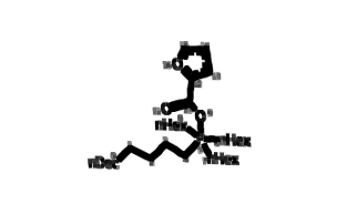 CCCCCCCCCCCCCCP(CCCCCC)(CCCCCC)(CCCCCC)OC(=O)c1ccco1